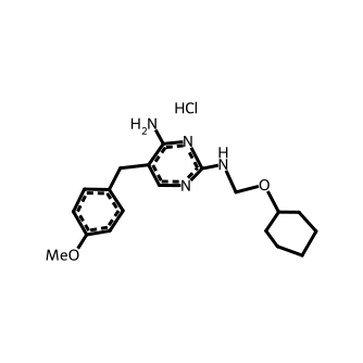 COc1ccc(Cc2cnc(NCOC3CCCCC3)nc2N)cc1.Cl